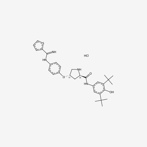 CC(C)(C)c1cc(NC(=O)[C@H]2C[C@H](Oc3ccc(NC(=N)c4cccs4)cc3)CN2)cc(C(C)(C)C)c1O.Cl